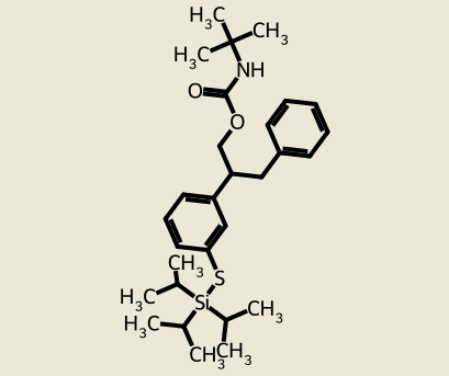 CC(C)[Si](Sc1cccc(C(COC(=O)NC(C)(C)C)Cc2ccccc2)c1)(C(C)C)C(C)C